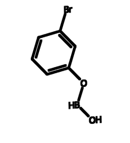 OBOc1cccc(Br)c1